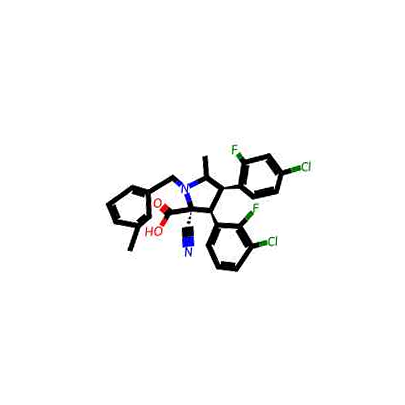 Cc1cccc(CN2C(C)[C@@H](c3ccc(Cl)cc3F)[C@@H](c3cccc(Cl)c3F)[C@@]2(C#N)C(=O)O)c1